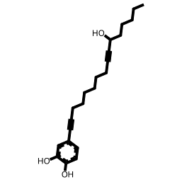 CCCCCC(O)C#CCCCCCCC#Cc1ccc(O)c(O)c1